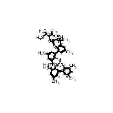 Cc1cc(-c2cc(C)cc(C(C)(C)C)c2Op2oc3c(C)cc(C)cc3c3cc(C)cc(C)c3o2)c(OC(=O)OC(C(C)C)C(C)C)c(C(C)(C)C)c1